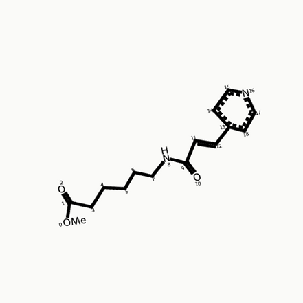 COC(=O)CCCCCNC(=O)C=Cc1ccncc1